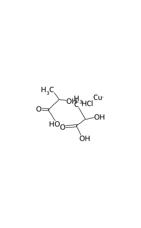 CC(O)C(=O)O.CC(O)C(=O)O.Cl.[Cu]